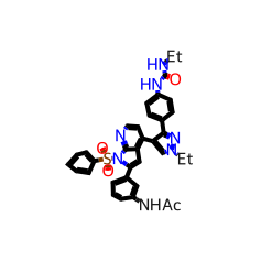 CCNC(=O)Nc1ccc(-c2nn(CC)cc2-c2ccnc3c2cc(-c2cccc(NC(C)=O)c2)n3S(=O)(=O)c2ccccc2)cc1